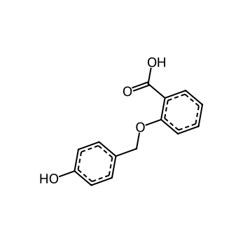 O=C(O)c1ccccc1OCc1ccc(O)cc1